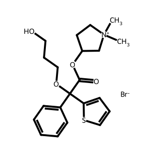 C[N+]1(C)CCC(OC(=O)C(OCCCO)(c2ccccc2)c2cccs2)C1.[Br-]